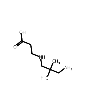 CC(C)(CN)CNCCC(=O)O